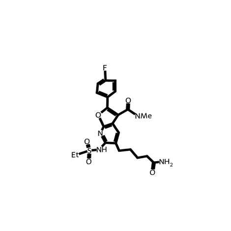 CCS(=O)(=O)Nc1nc2oc(-c3ccc(F)cc3)c(C(=O)NC)c2cc1CCCCC(N)=O